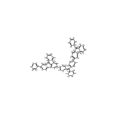 c1ccc(-c2ccc3c4cc(-c5ccc6c(c5)c5cc(-c7ccc8c(c7)c7ccccc7n8-c7ccccc7)ccc5n6-c5ccccc5)cc5c6ccccc6n(c3c2)c54)cc1